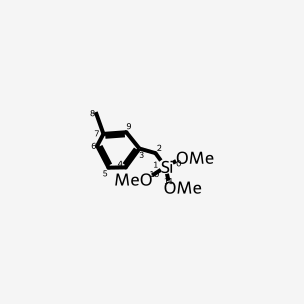 CO[Si](Cc1cccc(C)c1)(OC)OC